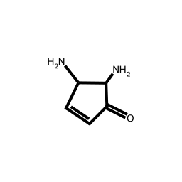 NC1C=CC(=O)C1N